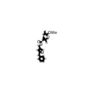 COC(=O)C(C)=C[C@H]1[C@H](C(=O)OCc2coc(Cc3ccccc3)c2)C1(C)C